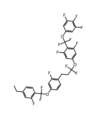 CCc1ccc(C(F)(F)Oc2ccc(CCC(F)(F)Oc3cc(F)c(C(F)(F)Oc4cc(F)c(F)c(F)c4)c(F)c3)c(F)c2)c(F)c1